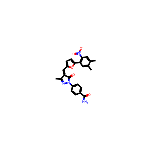 CC1=NN(c2ccc(C(N)=O)cc2)C(=O)C1=Cc1ccc(-c2cc(C)c(C)cc2[N+](=O)[O-])o1